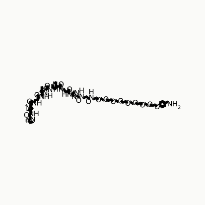 Cn1cc(NC(=O)c2nc(NC(=O)CCNC(=O)c3cc(NC(=O)c4nccn4C)cn3C)cn2C)cc1C(=O)NCCC(=O)Nc1cn(C)c(C(=O)NCCC(=O)NCCOCCOCCOCCOCCOCCOCCOCCOCCOc2ccc(CN)cc2)n1